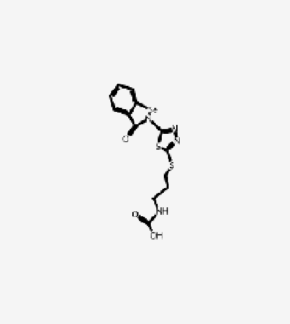 O=C(O)NCCCSc1nnc(-n2[se]c3ccccc3c2=O)s1